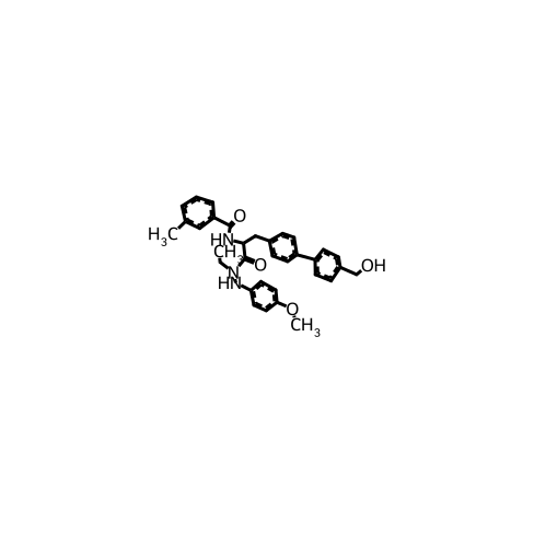 CCN(Nc1ccc(OC)cc1)C(=O)C(Cc1ccc(-c2ccc(CO)cc2)cc1)NC(=O)c1cccc(C)c1